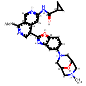 CNc1ncc(-c2nc3cc(N4CC5CN(C)CC(C4)O5)ccc3o2)c2cc(NC(=O)C3CC3)ncc12